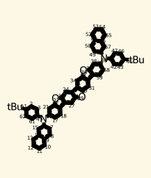 CC(C)(C)c1ccc(N(c2ccc3ccccc3c2)c2ccc3c(c2)oc2cc4c(cc23)oc2cc3c(cc24)oc2cc(N(c4ccc(C(C)(C)C)cc4)c4ccc5ccccc5c4)ccc23)cc1